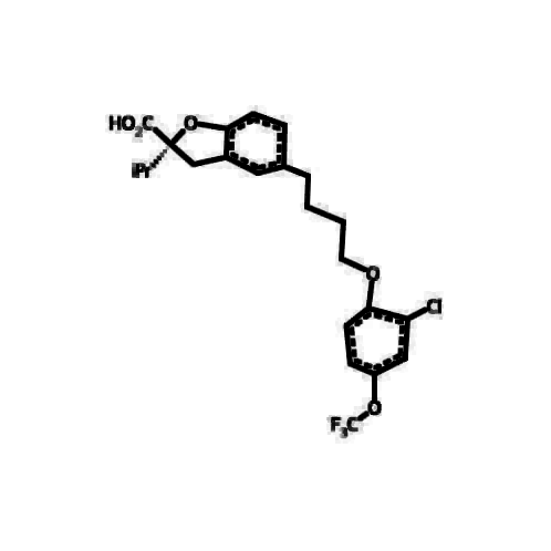 CC(C)[C@@]1(C(=O)O)Cc2cc(CCCCOc3ccc(OC(F)(F)F)cc3Cl)ccc2O1